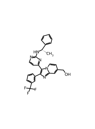 C[C@H](Nc1nccc(-c2c(-c3cccc(C(F)(F)F)c3)nc3cc(CO)ccn23)n1)c1ccccc1